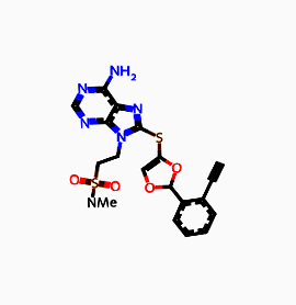 C#Cc1ccccc1C1OC=C(Sc2nc3c(N)ncnc3n2CCS(=O)(=O)NC)O1